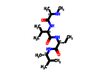 CC[C@@H](NC(=O)[C@H](NC(=O)[C@@H](C)NC)C(C)C)C(=O)N[C@@H](C)C(C)C